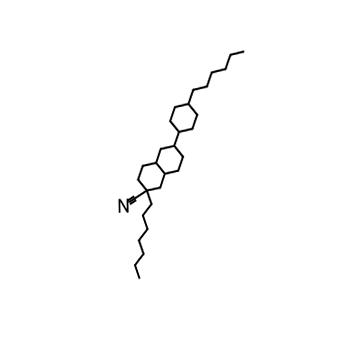 CCCCCCCC1(C#N)CCC2CC(C3CCC(CCCCCC)CC3)CCC2C1